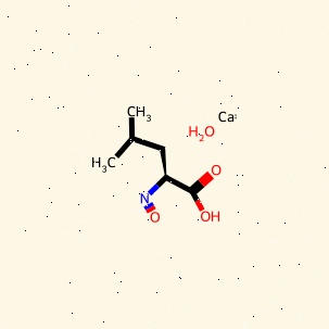 CC(C)C[C@H](N=O)C(=O)O.O.[Ca]